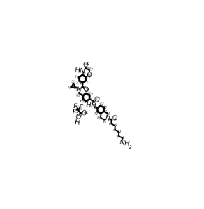 NCCCCCCC(=O)N1CCc2cc(NC(=O)c3ccc(CN(C(=O)c4ccc5c(c4)OCC(=O)N5)C4CC4)cc3)ccc2C1.O=C(O)C(F)(F)F